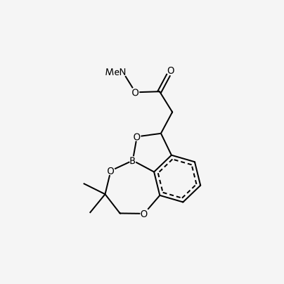 CNOC(=O)CC1OB2OC(C)(C)COc3cccc1c32